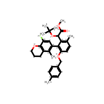 COC(=O)C(OC(C)(C)C)c1c(C)ccc(OCc2ccc(C)cc2)c1-c1cc(F)c2c(c1C)CCCO2